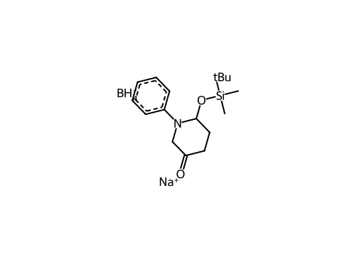 CC(C)(C)[Si](C)(C)OC1CCC(=O)CN1c1ccccc1.[BH4-].[Na+]